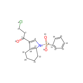 O=C(CCCl)c1cn(S(=O)(=O)c2ccccc2)c2c1CCCC2